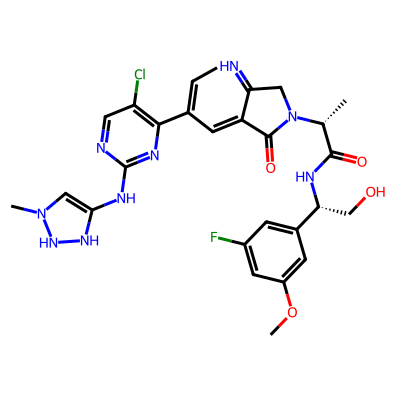 C/C=C(\C=C1/C(=N)CN([C@H](C)C(=O)N[C@H](CO)c2cc(F)cc(OC)c2)C1=O)c1nc(NC2=CN(C)NN2)ncc1Cl